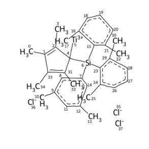 CC1=C(C)[C]([Ti+3])([Si](c2cc(C)cc(C)c2)(c2c(C)cccc2C)c2c(C)cccc2C)C(C)=C1C.[Cl-].[Cl-].[Cl-]